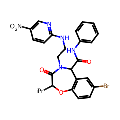 CC(C)C1Oc2ccc(Br)cc2C(C(=O)Nc2ccccc2)N(CCNc2ccc([N+](=O)[O-])cn2)C1=O